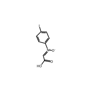 O=C(O)C=[N+]([O-])c1ccc(I)cc1